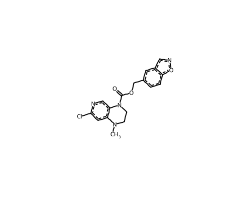 CN1CCN(C(=O)OCc2ccc3oncc3c2)c2cnc(Cl)cc21